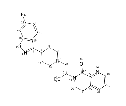 CC(CN1CCC(c2noc3cc(F)ccc23)CC1)N1CCc2cccnc2C1=O